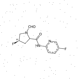 O=CN1C[C@H](F)CC1C(=O)Nc1ccc(F)cn1